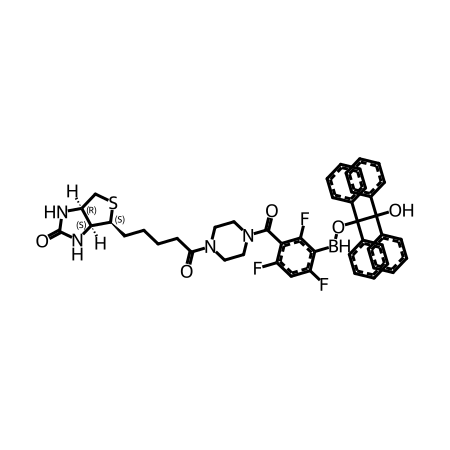 O=C1N[C@H]2[C@H](CS[C@H]2CCCCC(=O)N2CCN(C(=O)c3c(F)cc(F)c(BOC(c4ccccc4)(c4ccccc4)C(O)(c4ccccc4)c4ccccc4)c3F)CC2)N1